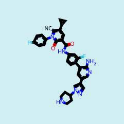 N#Cc1c(C2CC2)cc(C(=O)Nc2ccc(-c3cc(-c4cnn(C5CCNCC5)c4)cnc3N)c(F)c2)c(=O)n1-c1ccc(F)cc1